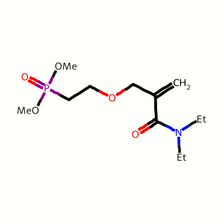 C=C(COCCP(=O)(OC)OC)C(=O)N(CC)CC